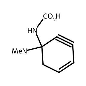 CNC1(NC(=O)O)C#CC=CC1